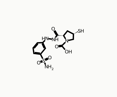 NS(=O)(=O)c1cccc(NNC(=O)[C@@H]2C[C@H](S)CN2C(=O)O)c1